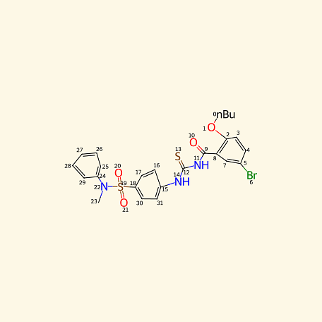 CCCCOc1ccc(Br)cc1C(=O)NC(=S)Nc1ccc(S(=O)(=O)N(C)c2ccccc2)cc1